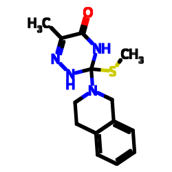 CSC1(N2CCc3ccccc3C2)NN=C(C)C(=O)N1